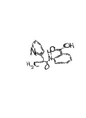 C=C(C(=O)Nc1ccccc1C(=O)O)c1ccccn1